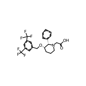 O=C(O)CN1CCC[C@H](OCc2cc(C(F)(F)F)cc(C(F)(F)F)c2)[C@@H]1c1ccccc1